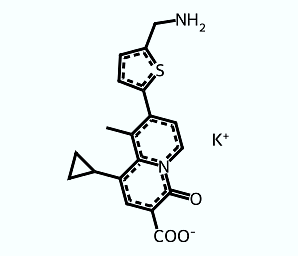 Cc1c(-c2ccc(CN)s2)ccn2c(=O)c(C(=O)[O-])cc(C3CC3)c12.[K+]